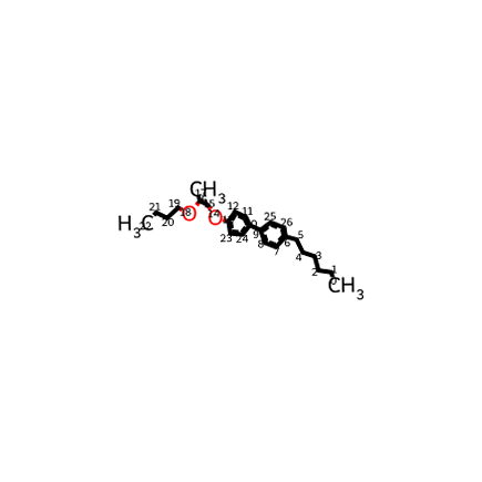 CCCCCCc1ccc(-c2ccc(OCC(C)OCCCC)cc2)cc1